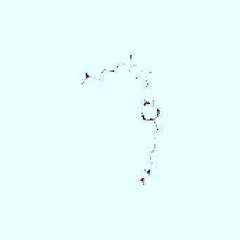 CC(=O)NCCC[Si](C)(C)O[Si](C)(C)CSc1ncc(COCCN=[N+]=[N-])cn1